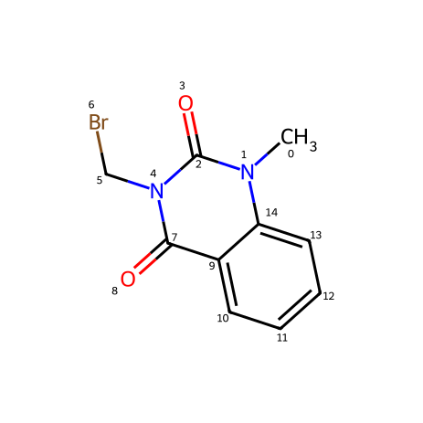 Cn1c(=O)n(CBr)c(=O)c2ccccc21